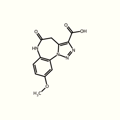 COc1ccc2c(c1)-n1nnc(C(=O)O)c1CC(=O)N2